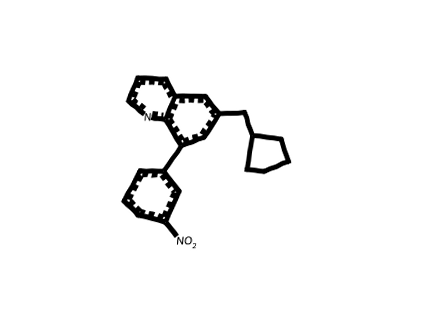 O=[N+]([O-])c1cccc(-c2cc(CC3CCCC3)cc3cccnc23)c1